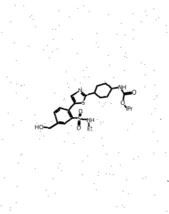 CCNS(=O)(=O)c1cc(CO)ccc1-c1cnc(C2CCC(NC(=O)OC(C)C)CC2)s1